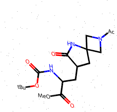 COC(=O)C(CC1CC2(CN(C(C)=O)C2)NC1=O)NC(=O)OC(C)(C)C